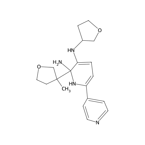 CC1(C2(N)NC(c3ccncc3)=CC=C2NC2CCOC2)CCOC1